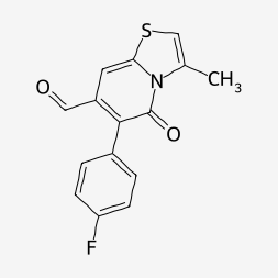 Cc1csc2cc(C=O)c(-c3ccc(F)cc3)c(=O)n12